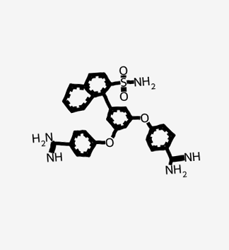 N=C(N)c1ccc(Oc2cc(Oc3ccc(C(=N)N)cc3)cc(-c3c(S(N)(=O)=O)ccc4ccccc34)c2)cc1